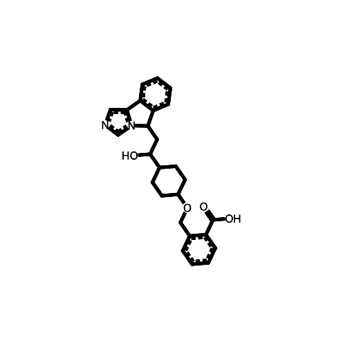 O=C(O)c1ccccc1COC1CCC(C(O)CC2c3ccccc3-c3cncn32)CC1